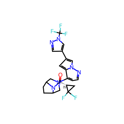 O=C([C@@H]1CC1(F)F)N1C2CCC1CN(c1ccnn3cc(-c4cnn(C(F)(F)F)c4)cc13)C2